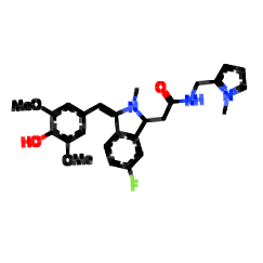 COc1cc(/C=C2\c3ccc(F)cc3C(CC(=O)NCc3cccn3C)N2C)cc(OC)c1O